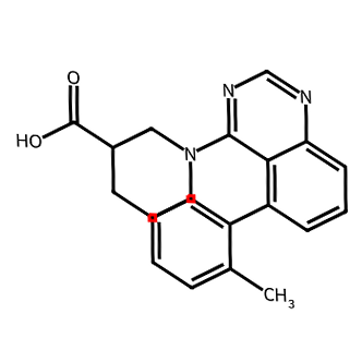 Cc1ccccc1-c1cccc2ncnc(N3CCCC(C(=O)O)C3)c12